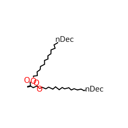 C=C(CC(=O)OCCCCCCCCCCCCCCCCCCCCCCCC)C(=O)OCCCCCCCCCCCCCCCCCCCCCCCC